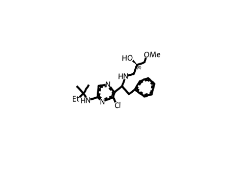 CCC(C)(C)Nc1cnc(C(Cc2ccccc2)NC[C@@H](O)COC)c(Cl)n1